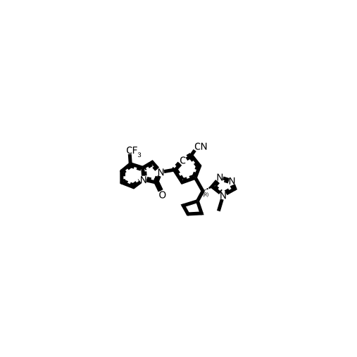 Cn1cnnc1[C@@H](c1cc(C#N)cc(-n2cc3c(C(F)(F)F)cccn3c2=O)c1)C1CCC1